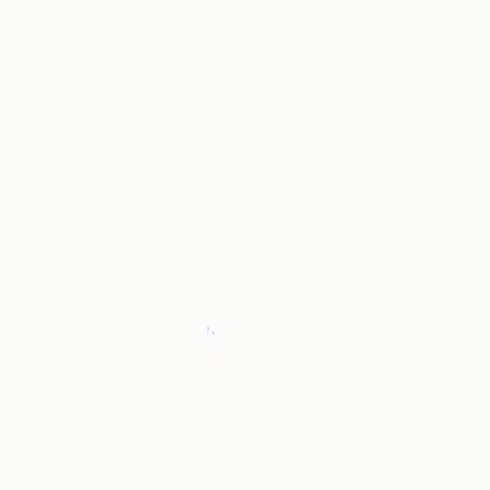 O=Nc1cccc2c3c(ccc12)C1=C(CCC=C1)CC3